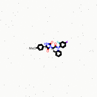 COc1ccc([C@H]2NC(=O)N([C@@H](Cc3ccccc3)C(=O)Nc3ccc(I)cc3F)C2=O)cc1